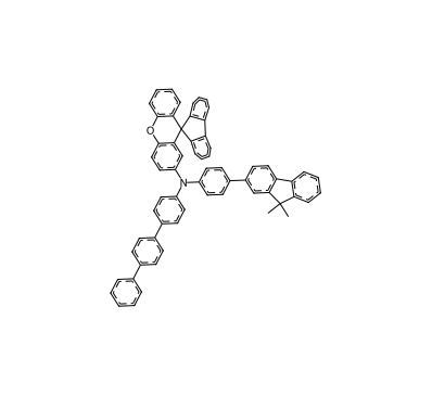 CC1(C)c2ccccc2-c2ccc(-c3ccc(N(c4ccc(-c5ccc(-c6ccccc6)cc5)cc4)c4ccc5c(c4)C4(c6ccccc6O5)c5ccccc5-c5ccccc54)cc3)cc21